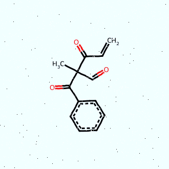 C=CC(=O)C(C)(C=O)C(=O)c1ccccc1